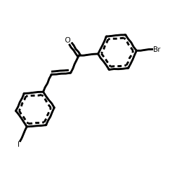 O=C(C=Cc1ccc(I)cc1)c1ccc(Br)cc1